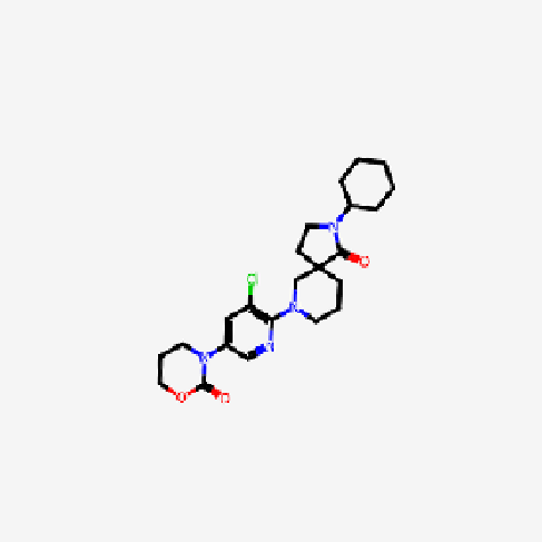 O=C1OCCCN1c1cnc(N2CCCC3(CCN(C4CCCCC4)C3=O)C2)c(Cl)c1